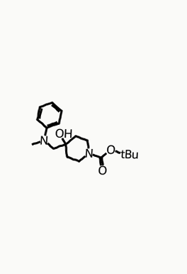 CN(CC1(O)CCN(C(=O)OC(C)(C)C)CC1)c1ccccc1